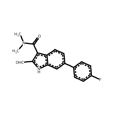 CN(C)C(=O)c1c(C=O)[nH]c2cc(-c3ccc(F)cc3)ccc12